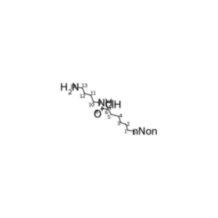 CCCCCCCCCCCCCCCC(=O)NCCCCN.Cl